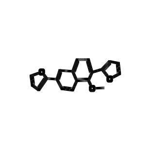 COc1c(-c2ccco2)ccc2cc(-c3ccco3)ccc12